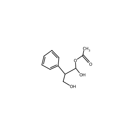 CC(=O)OC(O)C(CO)c1ccccc1